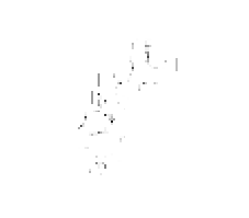 O=C(Nc1ccc(Cl)c(C(F)(F)F)c1)Nc1ccc2c(n1)CCC(O)C2